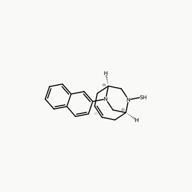 SN1C[C@@H]2C/C=C\C[C@H]1CN2c1ccc2ccccc2c1